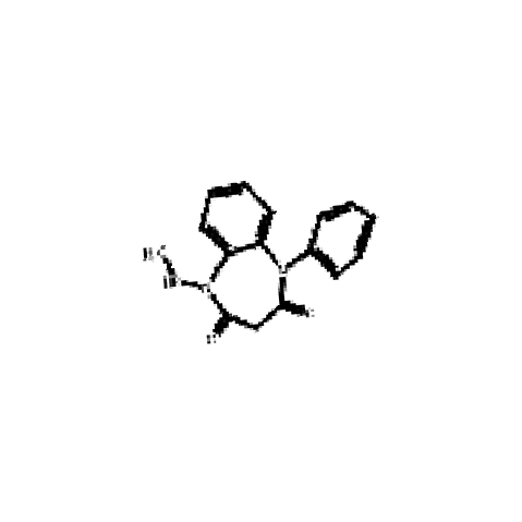 CPN1C(=O)CC(=O)N(c2ccccc2)c2ccccc21